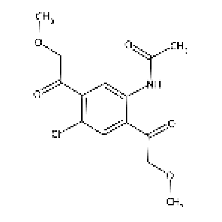 COCC(=O)c1cc(NC(C)=O)c(C(=O)COC)cc1Cl